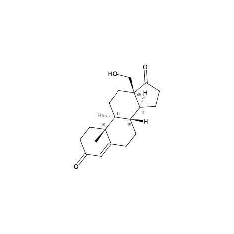 C[C@]12CCC(=O)C=C1CC[C@H]1[C@@H]3CCC(=O)[C@@]3(CO)CC[C@@H]12